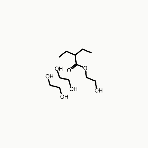 CCC(CC)C(=O)OCCO.OCCO.OCCO